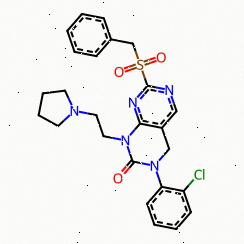 O=C1N(c2ccccc2Cl)Cc2cnc(S(=O)(=O)Cc3ccccc3)nc2N1CCN1CCCC1